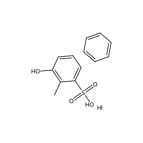 Cc1c(O)cccc1S(=O)(=O)O.I.c1ccccc1